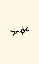 CCN(CC)c1cc(C)c(N=Nc2nc(C#N)c(C#N)[nH]2)cc1OC